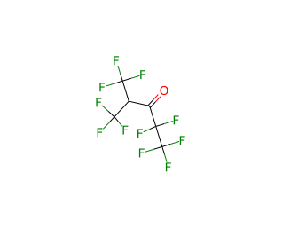 O=C(C(C(F)(F)F)C(F)(F)F)C(F)(F)C(F)(F)F